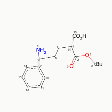 CC(C)(C)OC(=O)[C@H](CCC(N)c1ccccc1)C(=O)O